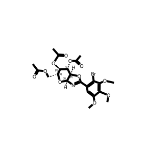 COc1cc(C2=N[C@H]3O[C@H](COC(C)=O)[C@@H](OC(C)=O)[C@H](OC(C)=O)[C@H]3O2)c(Br)c(OC)c1OC